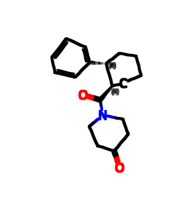 O=C1CCN(C(=O)[C@@H]2CCCC[C@H]2c2ccccc2)CC1